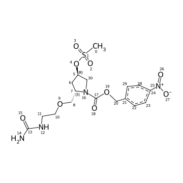 CS(=O)(=O)O[C@@H]1C[C@@H](COCCNC(N)=O)N(C(=O)OCc2ccc([N+](=O)[O-])cc2)C1